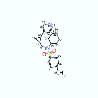 Cc1ccc(S(=O)(=O)N(CC2CC2c2ccncc2)C2CCNCC2)cc1